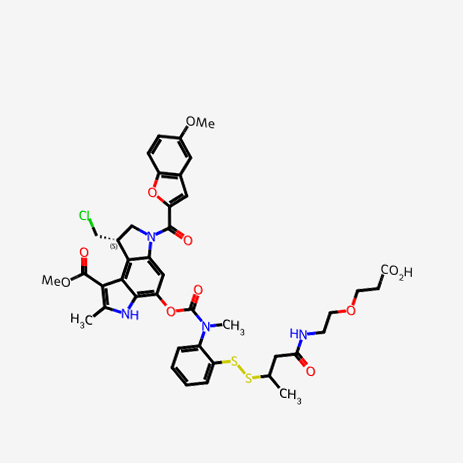 COC(=O)c1c(C)[nH]c2c(OC(=O)N(C)c3ccccc3SSC(C)CC(=O)NCCOCCC(=O)O)cc3c(c12)[C@H](CCl)CN3C(=O)c1cc2cc(OC)ccc2o1